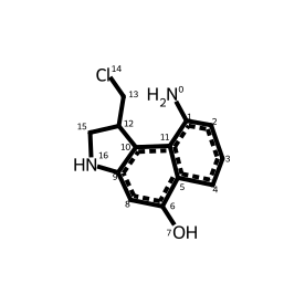 Nc1cccc2c(O)cc3c(c12)C(CCl)CN3